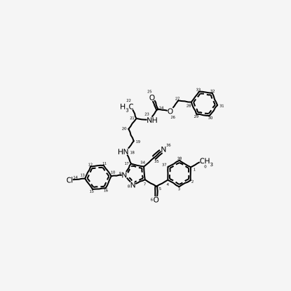 Cc1ccc(C(=O)c2nn(-c3ccc(Cl)cc3)c(NCCC(C)NC(=O)OCc3ccccc3)c2C#N)cc1